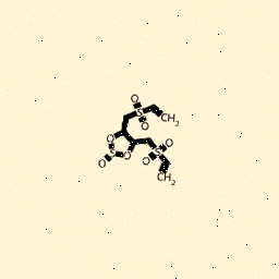 C=CS(=O)(=O)CC1OS(=O)OC1CS(=O)(=O)C=C